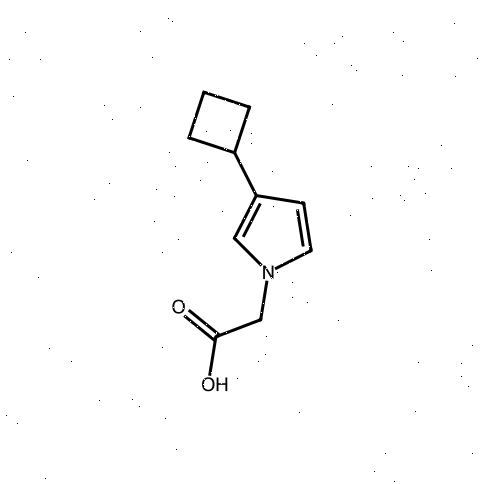 O=C(O)Cn1ccc(C2CCC2)c1